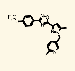 Cc1cc(-c2nc(-c3ccc(OC(F)(F)F)cc3)no2)nn1Cc1ccc(I)nc1